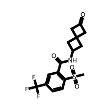 CS(=O)(=O)c1ccc(C(F)(F)F)cc1C(=O)NC1CC2(CC(=O)C2)C1